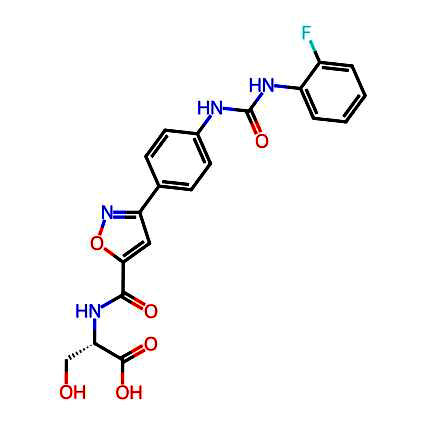 O=C(Nc1ccc(-c2cc(C(=O)N[C@@H](CO)C(=O)O)on2)cc1)Nc1ccccc1F